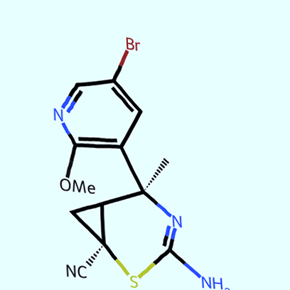 COc1ncc(Br)cc1[C@@]1(C)N=C(N)S[C@@]2(C#N)CC21